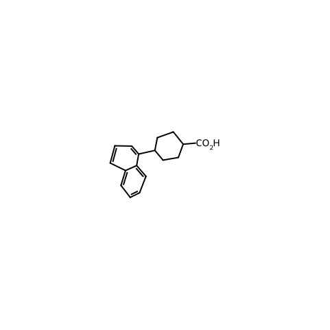 O=C(O)C1CCC(c2cccc3ccccc23)CC1